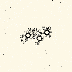 COCN(c1cc(Cl)cnc1C(=O)c1cc(F)ccc1OC)S(=O)(=O)c1ccc(Cl)c(C(F)(F)F)c1